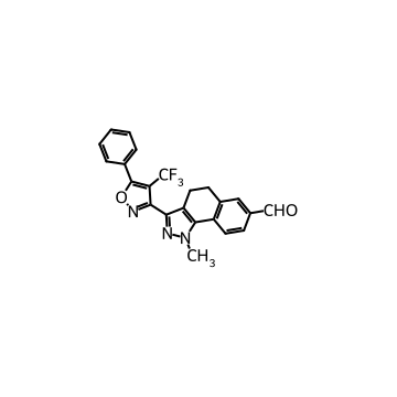 Cn1nc(-c2noc(-c3ccccc3)c2C(F)(F)F)c2c1-c1ccc(C=O)cc1CC2